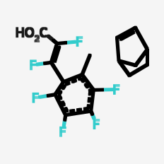 C1=CC2CCC1C2.Cc1c(F)c(F)c(F)c(F)c1C(F)=C(F)C(=O)O